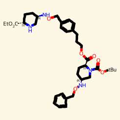 CCOC(=O)[C@@H]1CC[C@@H](NOCc2ccc(CCCOC(=O)[C@@H]3CC[C@@H](NOCc4ccccc4)CN3C(=O)OC(C)(C)C)cc2)CN1